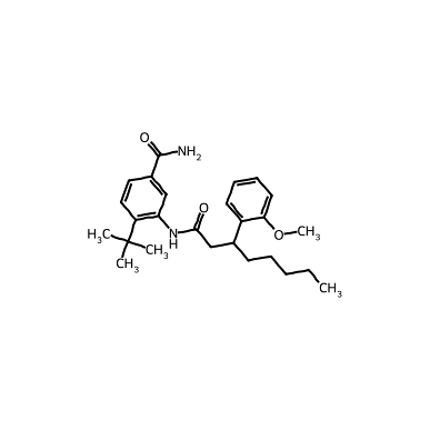 CCCCCC(CC(=O)Nc1cc(C(N)=O)ccc1C(C)(C)C)c1ccccc1OC